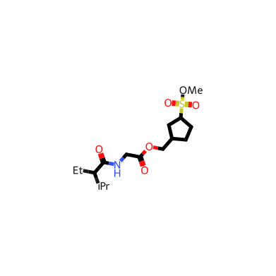 CCC(C(=O)NCC(=O)OCC1CCC(S(=O)(=O)OC)C1)C(C)C